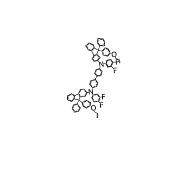 C=CCOc1ccc(C2(c3ccccc3)c3ccccc3-c3ccc(N(c4ccc(-c5ccc(N(c6ccc(F)c(F)c6)c6ccc7c(c6)C(c6ccccc6)(c6ccc(OCC=C)cc6)c6ccccc6-7)cc5)cc4)c4ccc(F)c(F)c4)cc32)cc1